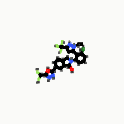 Cn1nc(C(F)(F)F)cc1-c1c(Cl)cccc1N1Cc2ccc(-c3nnc(C(F)F)o3)cc2C1=O